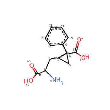 NC(CC1CC1(C(=O)O)c1ccccc1)C(=O)O